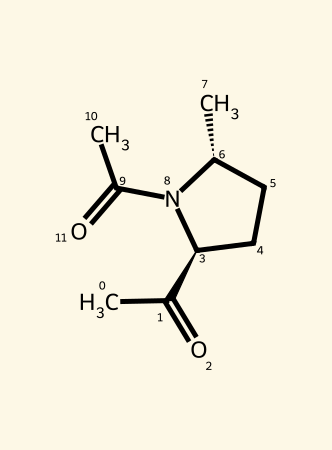 CC(=O)[C@@H]1CC[C@@H](C)N1C(C)=O